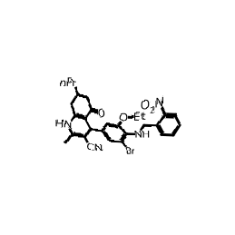 CCCC1CC(=O)C2=C(C1)NC(C)=C(C#N)C2c1cc(Br)c(NCc2ccccc2[N+](=O)[O-])c(OCC)c1